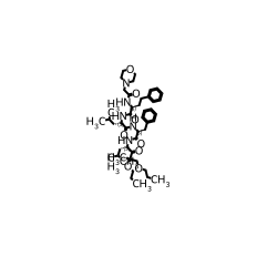 CCCOCC(C)(OCCC)C(=O)[C@H](CC(C)C)NC(=O)[C@H](Cc1ccccc1)NC(=O)[C@H](CC(C)C)NC(=O)[C@H](CCc1ccccc1)NC(=O)CN1CCOCC1